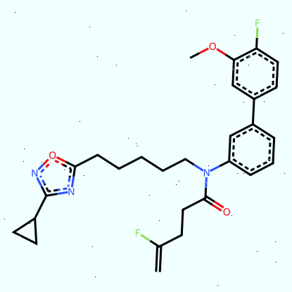 C=C(F)CCC(=O)N(CCCCCc1nc(C2CC2)no1)c1cccc(-c2ccc(F)c(OC)c2)c1